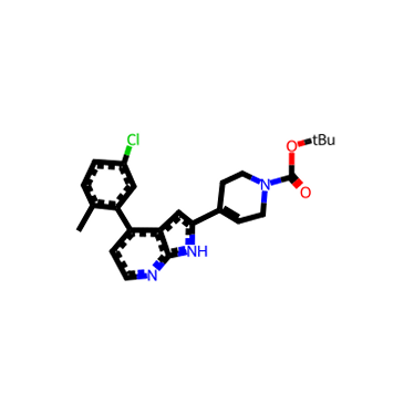 Cc1ccc(Cl)cc1-c1ccnc2[nH]c(C3=CCN(C(=O)OC(C)(C)C)CC3)cc12